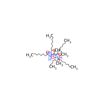 CCCCCCCC(=O)NC(NC(=O)CCCCCCC)(OC(NC(=O)CCCCCCC)(NC(=O)CCCCCCC)C(CC)CCCC)C(CC)CCCC